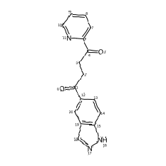 O=C(CCC(=O)c1ccccn1)c1ccc2[nH]ncc2c1